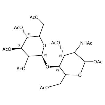 CC(=O)NC1C(OC(C)=O)OC(COC(C)=O)[C@@H](O[C@@H]2OC(COC(C)=O)[C@@H](OC(C)=O)[C@H](OC(C)=O)C2OC(C)=O)[C@@H]1OC(C)=O